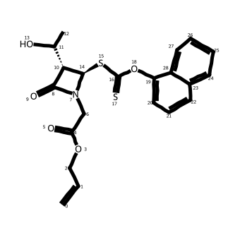 C=CCOC(=O)CN1C(=O)[C@H](C(C)O)[C@H]1SC(=S)Oc1cccc2ccccc12